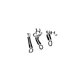 O=[SiH2].[O]=[GeH2].[O]=[Ti]